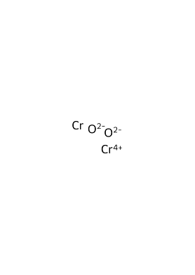 [Cr+4].[Cr].[O-2].[O-2]